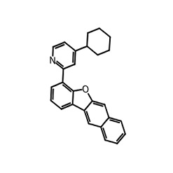 c1ccc2cc3c(cc2c1)oc1c(-c2cc(C4CCCCC4)ccn2)cccc13